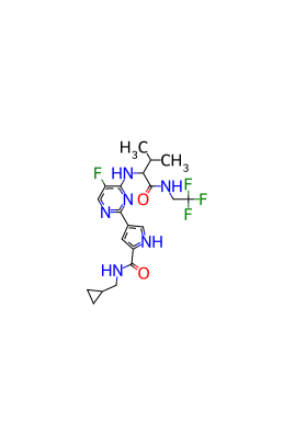 CC(C)C(Nc1nc(-c2c[nH]c(C(=O)NCC3CC3)c2)ncc1F)C(=O)NCC(F)(F)F